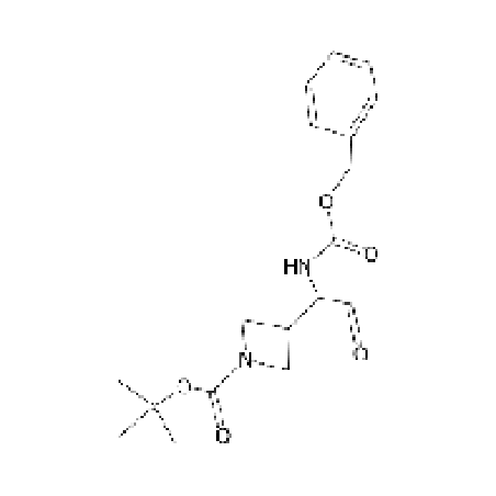 CC(C)(C)OC(=O)N1CC(C(C=O)NC(=O)OCc2ccccc2)C1